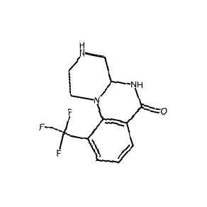 O=C1NC2CNCCN2c2c1cccc2C(F)(F)F